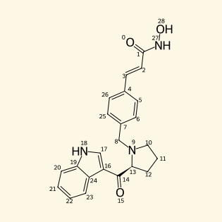 O=C(C=Cc1ccc(CN2CCC[C@H]2C(=O)c2c[nH]c3ccccc23)cc1)NO